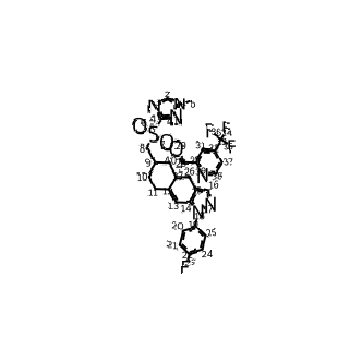 Cn1cnc(S(=O)(=O)CC2CCC3=Cc4c(cnn4-c4ccc(F)cc4)C[C@]3(C(=O)c3cc(C(F)(F)F)ccn3)C2)n1